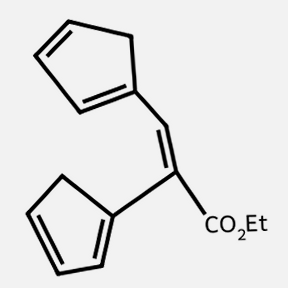 CCOC(=O)C(=CC1=CC=CC1)C1=CC=CC1